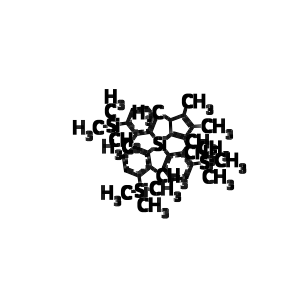 CC1=C(C)C(C)C([Si](c2cccc([Si](C)(C)C)c2C)(c2cccc([Si](C)(C)C)c2C)c2cccc([Si](C)(C)C)c2C)=C1C